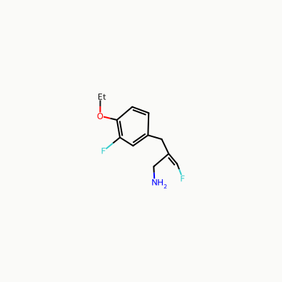 CCOc1ccc(C/C(=C/F)CN)cc1F